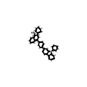 C1=C(c2ccc3c4ccccc4n(-c4ccccc4)c3c2)CCC(c2cc3c4ccccc4[nH]c3c3ccccc23)=C1